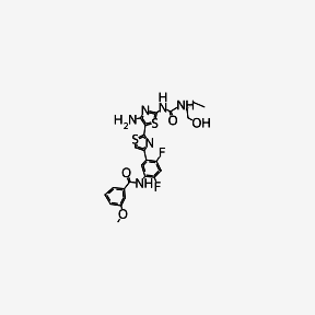 CC[C@H](CO)NC(=O)Nc1nc(N)c(-c2nc(-c3cc(NC(=O)c4cccc(OC)c4)c(F)cc3F)cs2)s1